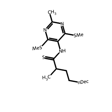 CCCCCCCCCCCCC(C)C(=S)Nc1c(SC)nc(C)nc1SC